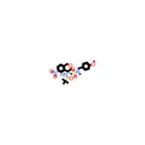 COc1ccc(CN(C)S(=O)(=O)C[C@@]2(N[S@+]([O-])C(C)(C)C)COCc3ccc([N+](=O)[O-])cc32)cc1